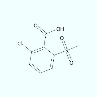 CS(=O)(=O)c1cccc(Cl)c1C(=O)O